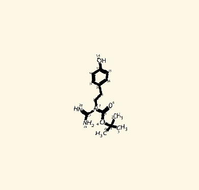 CC(C)(C)OC(=O)N(CCc1ccc(O)cc1)C(=N)N